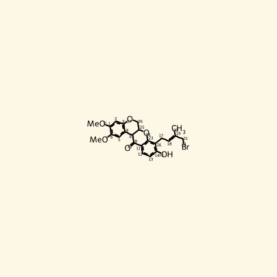 COc1cc2c(cc1OC)C1C(=O)c3ccc(O)c(C/C=C(\C)CBr)c3OC1CO2